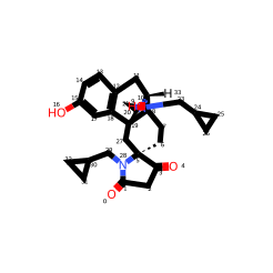 O=C1CC(=O)[C@@]2(CC[C@@]3(O)[C@H]4Cc5ccc(O)cc5[C@@]3(CCN4CC3CC3)C2)N1CC1CC1